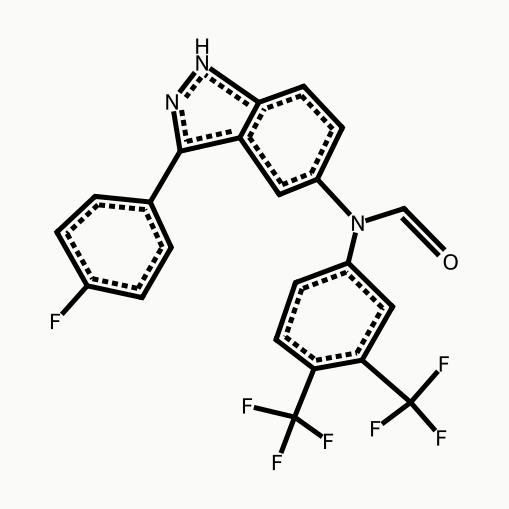 O=CN(c1ccc(C(F)(F)F)c(C(F)(F)F)c1)c1ccc2[nH]nc(-c3ccc(F)cc3)c2c1